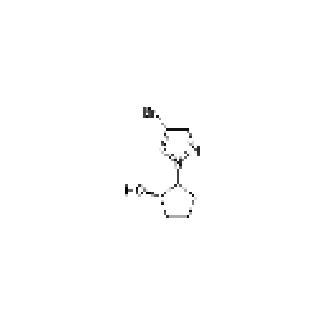 O[C@@H]1CCCC1n1cc(Br)cn1